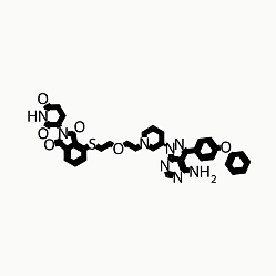 Nc1ncnc2c1c(-c1ccc(Oc3ccccc3)cc1)nn2[C@@H]1CCCN(CCOCCSc2cccc3c2C(=O)N(C2CCC(=O)NC2=O)C3=O)C1